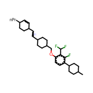 CCCC1C=CC(/C=C/C2CCC(COc3ccc(C4CCC(C)CC4)c(F)c3C(F)F)CC2)CC1